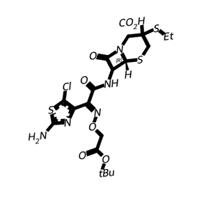 CCSC1(C(=O)O)CS[C@@H]2C(NC(=O)C(=NOCC(=O)OC(C)(C)C)c3nc(N)sc3Cl)C(=O)N2C1